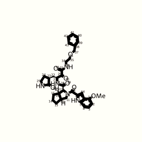 COc1cccc2[nH]c(C(=O)N3C[C@@H]4CCC[C@@H]4[C@H]3C(=O)N[C@@H](C[C@@H]3CCNC3=O)C(=O)C(=O)NCCOCc3ccccc3)cc12